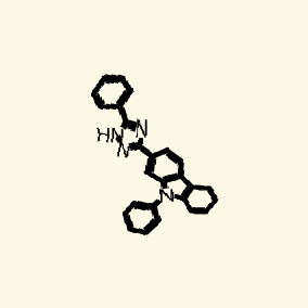 C1=Cc2c(c3ccc(-c4n[nH]c(-c5ccccc5)n4)cc3n2-c2ccccc2)CC1